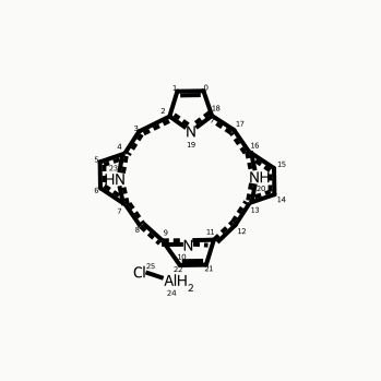 C1=Cc2cc3ccc(cc4nc(cc5ccc(cc1n2)[nH]5)C=C4)[nH]3.[AlH2][Cl]